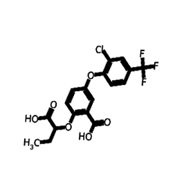 CCC(Oc1ccc(Oc2ccc(C(F)(F)F)cc2Cl)cc1C(=O)O)C(=O)O